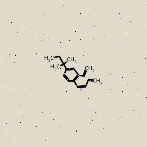 C=C/C=C\c1ccc(C(C)(C)CC)cc1C=C